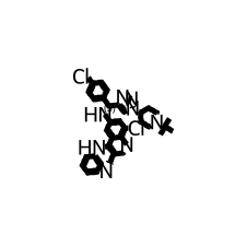 CC(C)(C)N1CCC(n2cc([C@@H](Nc3cc(Cl)c4ncc(C#N)c(Nc5ccccc5)c4c3)c3ccc(Cl)cc3)nn2)CC1